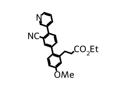 CCOC(=O)CCc1cc(OC)ccc1-c1ccc(-c2cccnc2)c(C#N)c1